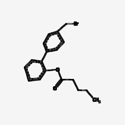 CCCCC(=O)Oc1ccccc1-c1ccc(CBr)cc1